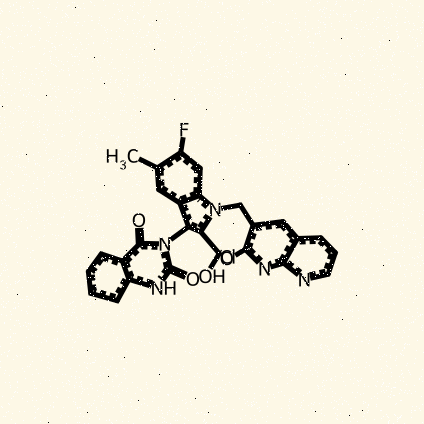 Cc1cc2c(-n3c(=O)[nH]c4ccccc4c3=O)c(C(=O)O)n(Cc3cc4cccnc4nc3Cl)c2cc1F